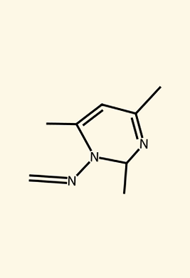 C=NN1C(C)=CC(C)=NC1C